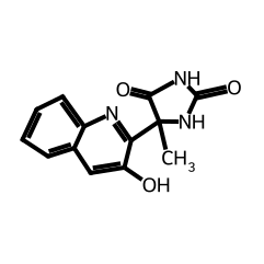 CC1(c2nc3ccccc3cc2O)NC(=O)NC1=O